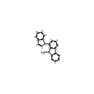 [Hf][CH]1c2ccccc2-c2cccc(C3C=Cc4ccccc43)c21